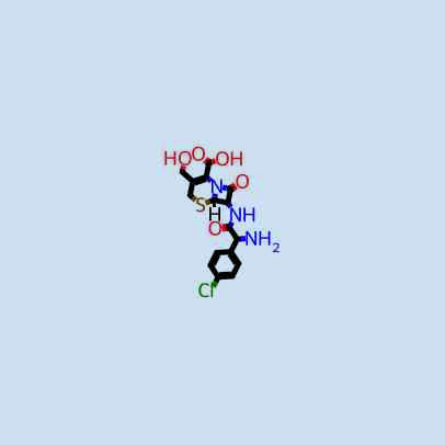 NC(C(=O)NC1C(=O)N2C(C(=O)O)=C(CO)CS[C@@H]12)c1ccc(Cl)cc1